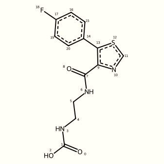 O=C(O)NCCNC(=O)c1ncsc1-c1ccc(F)cc1